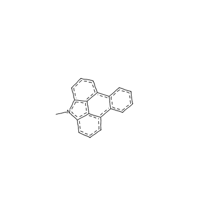 Cn1c2cccc3c4ccccc4c4cccc1c4c32